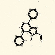 Cn1c(C=O)nc2c(-c3ccccc3)ccc(-c3ccccc3)c21